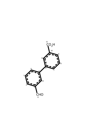 O=Cc1cccc(-c2cccc(C(=O)O)c2)c1